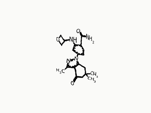 Cc1nn(-c2ccc(C(N)=O)c(NC3COC3)c2)c2c1C(=O)CC(C)(C)C2